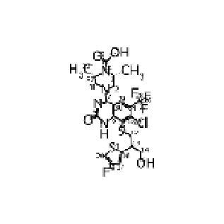 C[C@@H]1CN(c2nc(=O)[nH]c3c(SCC(CO)c4cc(F)cs4)c(Cl)c(C(F)(F)F)cc23)C[C@H](C)N1C(=O)O